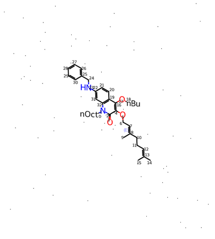 CCCCCCCCn1c(=O)c(OC/C=C(\C)CCC=C(C)C)c(OCCCC)c2ccc(NCc3ccccc3)cc21